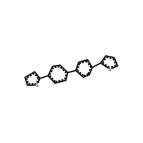 c1csc(-c2ccc(-c3ccc(-c4cccs4)cc3)cc2)c1